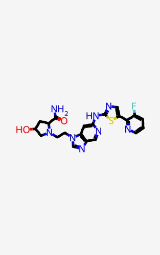 NC(=O)C1CC(O)CN1CCn1cnc2cnc(Nc3ncc(-c4ncccc4F)s3)cc21